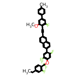 CCc1ccc(C(F)(F)Oc2cc(F)c(-c3ccc4cc(C#Cc5c(F)cc(-c6ccc(C)cc6)cc5OC)ccc4c3)cc2F)c(F)c1